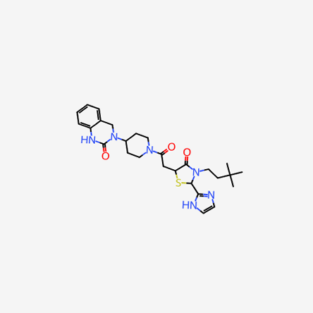 CC(C)(C)CCN1C(=O)C(CC(=O)N2CCC(N3Cc4ccccc4NC3=O)CC2)SC1c1ncc[nH]1